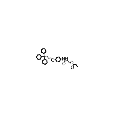 C=CC(=O)OCCC(=O)Nc1ccc(OCCCC(c2ccccc2)(c2ccccc2)c2ccccc2)cc1